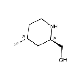 C[C@@H]1CCN[C@@H](CO)C1